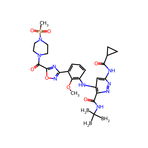 BC(B)(B)NC(=O)c1nnc(NC(=O)C2CC2)cc1Nc1cccc(-c2noc(C(=O)N3CCN(S(C)(=O)=O)CC3)n2)c1OC